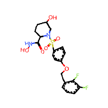 O=C(NO)C1CCC(O)CN1S(=O)(=O)c1ccc(OCc2cccc(F)c2F)cc1